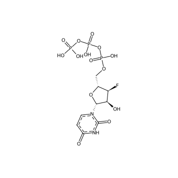 O=c1ccn([C@@H]2O[C@H](COP(=O)(O)OP(=O)(O)OP(=O)(O)O)[C@@H](F)[C@H]2O)c(=O)[nH]1